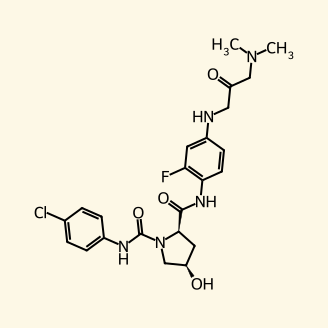 CN(C)CC(=O)CNc1ccc(NC(=O)[C@H]2C[C@@H](O)CN2C(=O)Nc2ccc(Cl)cc2)c(F)c1